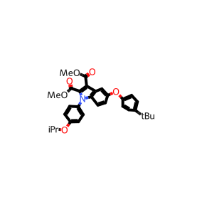 COC(=O)c1c(C(=O)OC)n(-c2ccc(OC(C)C)cc2)c2ccc(Oc3ccc(C(C)(C)C)cc3)cc12